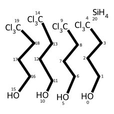 OCCCC(Cl)(Cl)Cl.OCCCC(Cl)(Cl)Cl.OCCCC(Cl)(Cl)Cl.OCCCC(Cl)(Cl)Cl.[SiH4]